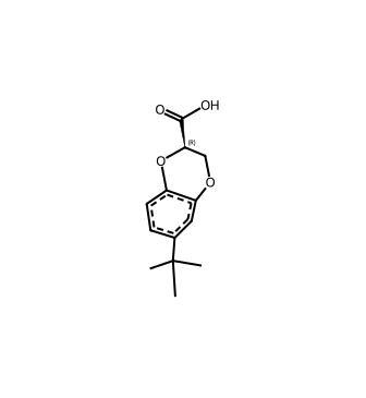 CC(C)(C)c1ccc2c(c1)OC[C@H](C(=O)O)O2